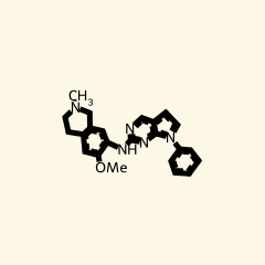 COc1cc2c(cc1Nc1ncc3ccn(-c4ccccc4)c3n1)CN(C)CC2